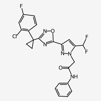 O=C(Cn1nc(-c2nc(C3(c4ccc(F)cc4Cl)CC3)no2)cc1C(F)F)Nc1ccccc1